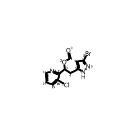 O=COC(Cc1cc(Br)n[nH]1)c1ncccc1Cl